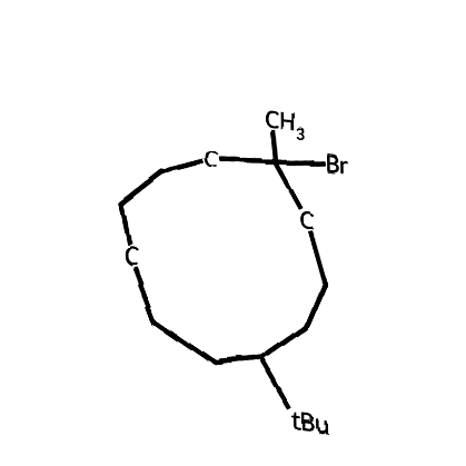 CC1(Br)CCCCCCC(C(C)(C)C)CCC1